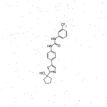 O=C(Nc1ccc(-c2cnc(C3(O)CCCC3)s2)cc1)Nc1cccc(C(F)(F)F)c1